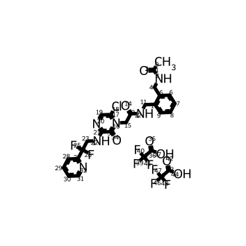 CC(=O)NCc1ccccc1CNC(=O)Cn1c(Cl)cnc(NCC(F)(F)c2ccccn2)c1=O.O=C(O)C(F)(F)F.O=C(O)C(F)(F)F